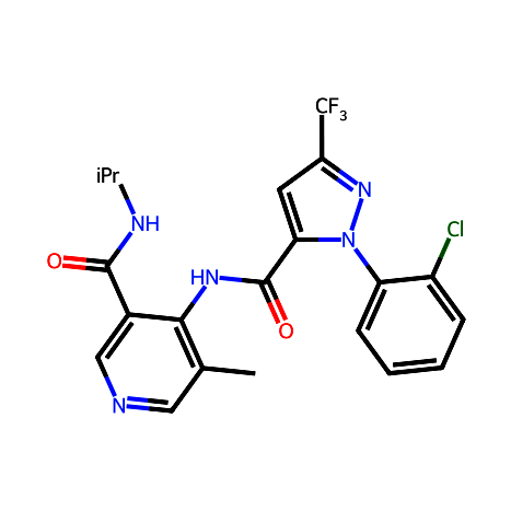 Cc1cncc(C(=O)NC(C)C)c1NC(=O)c1cc(C(F)(F)F)nn1-c1ccccc1Cl